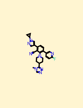 Cn1cnnc1C1CCN(c2c(-c3ccc(F)nc3)ccc(-c3cnn(C4CC4)c3)c2C#N)CC1